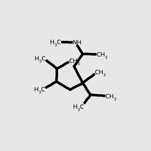 CNC(C)CC(C)(CC(C)C(C)C)C(C)C